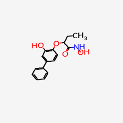 CCC(Oc1ccc(-c2ccccc2)cc1O)C(=O)NO